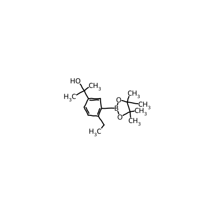 CCc1ccc(C(C)(C)O)cc1B1OC(C)(C)C(C)(C)O1